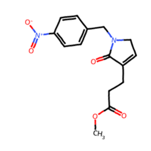 COC(=O)CCC1=CCN(Cc2ccc([N+](=O)[O-])cc2)C1=O